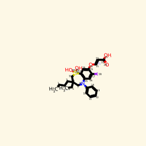 CCCCC1(CC)CN(c2ccccc2)c2cc(I)c(O/C=C/C(=O)O)cc2S(O)(O)C1